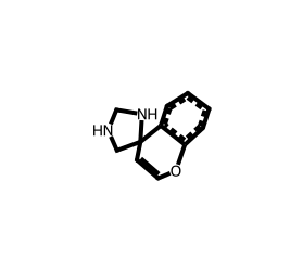 C1=CC2(CNCN2)c2ccccc2O1